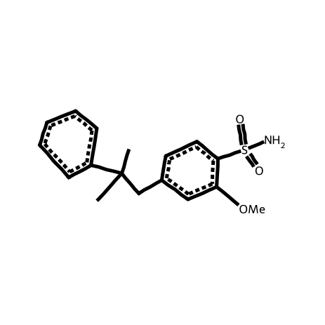 COc1cc(CC(C)(C)c2ccccc2)ccc1S(N)(=O)=O